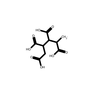 [CH2]C(C(=O)O)C(C(=O)O)C(CC(=O)O)C(=O)O